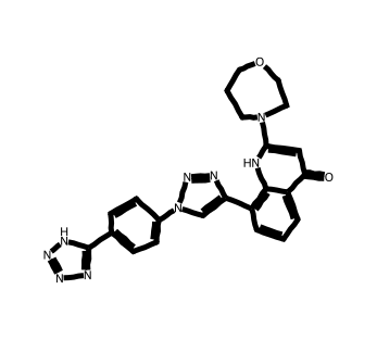 O=c1cc(N2CCCOCC2)[nH]c2c(-c3cn(-c4ccc(-c5nnn[nH]5)cc4)nn3)cccc12